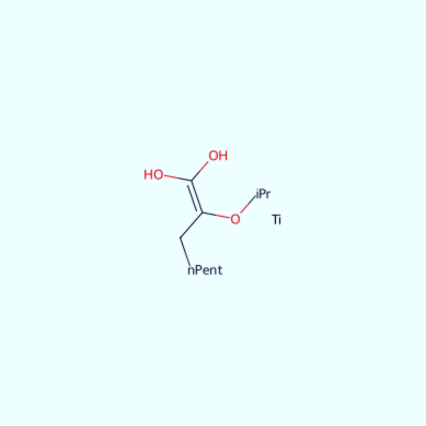 CCCCCCC(OC(C)C)=C(O)O.[Ti]